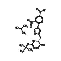 CC(C)(C)OC(=O)N[C@H](Cc1cn(-c2ccc([N+](=O)[O-])cc2[N+](=O)[O-])cn1)C(=O)O.CC(C)O